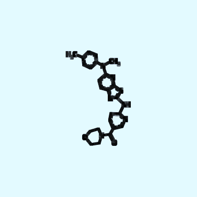 Cc1ccc(N(C)c2ccc3nc(Nc4ccc(C(=O)N5CCOCC5)cn4)sc3n2)cc1